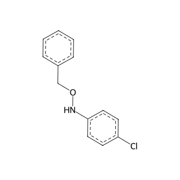 Clc1ccc(NOCc2ccccc2)cc1